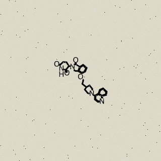 O=C1CCC(N2Cc3c(OCCC4CCN(c5ccnc6ccccc56)CC4)cccc3C2=O)C(=O)N1